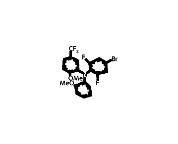 COc1ccccc1N(c1cc(C(F)(F)F)ccc1OC)c1c(F)cc(Br)cc1F